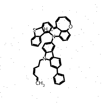 C=C/C=C\CCn1c2ccc(N(c3cccc4c3C(=C)/C=C\C=C/O4)c3cccc4sc5ccccc5c34)cc2c2ccc(-c3ccccc3)cc21